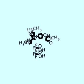 CNc1cc2c(cn1)c(-c1ccn(C)n1)cn2C1CCC(Oc2ccc(=O)n(C)n2)CC1.O=C(O)C(F)(F)F.O=C(O)C(F)(F)F